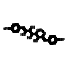 CCCOC(=Cc1ccc(CCC)cc1)C(O)C(O)C(O)C(O)C(O)=Cc1ccc(CCC)cc1